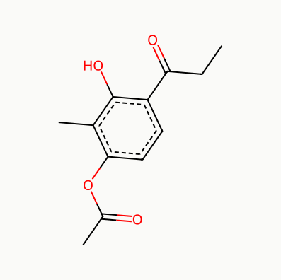 CCC(=O)c1ccc(OC(C)=O)c(C)c1O